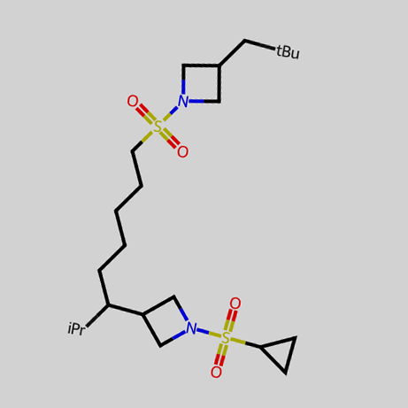 CC(C)C(CCCCCS(=O)(=O)N1CC(CC(C)(C)C)C1)C1CN(S(=O)(=O)C2CC2)C1